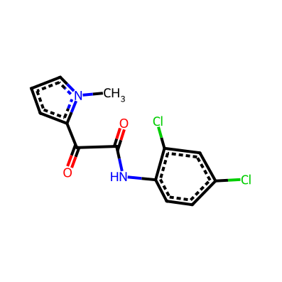 Cn1cccc1C(=O)C(=O)Nc1ccc(Cl)cc1Cl